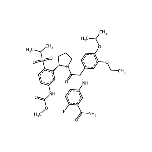 CCOc1cc([C@H](Nc2ccc(F)c(C(N)=O)c2)C(=O)N2CCC[C@@H]2c2cc(NC(=O)OC)ccc2S(=O)(=O)C(C)C)ccc1OC(C)C